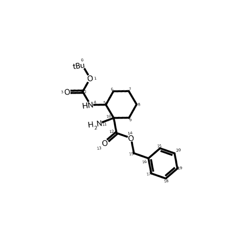 CC(C)(C)OC(=O)NC1CCCCC1(N)C(=O)OCc1ccccc1